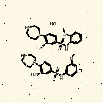 COc1cccc(NS(=O)(=O)c2ccc(N3CCCNCC3)c(N)c2)c1.COc1ccccc1NS(=O)(=O)c1ccc(N2CCCNCC2)c(N)c1.Cl.Cl